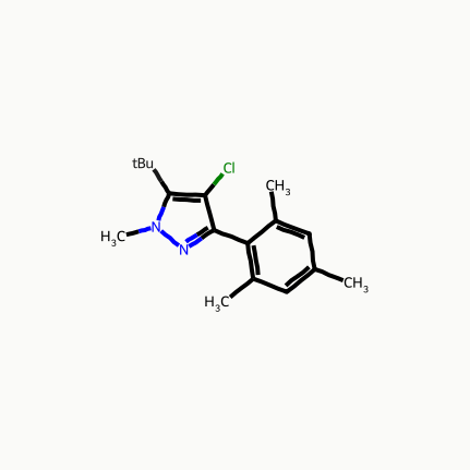 Cc1cc(C)c(-c2nn(C)c(C(C)(C)C)c2Cl)c(C)c1